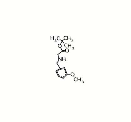 COc1cccc(CNCC(=O)OC(C)(C)C)c1